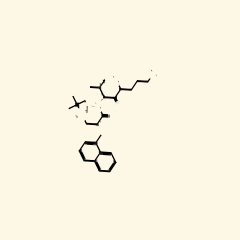 CC(C)[C@H](NC(=O)[C@H](Cc1cccc2ccccc12)CS(=O)(=O)C(C)(C)C)C(=O)C(N)CCCN